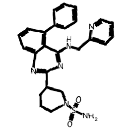 NS(=O)(=O)N1CCCC(c2nc(NCc3ccccn3)c3c(-c4ccccc4)cccc3n2)C1